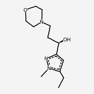 CCc1cc([C@H](O)CCN2CCOCC2)nn1C